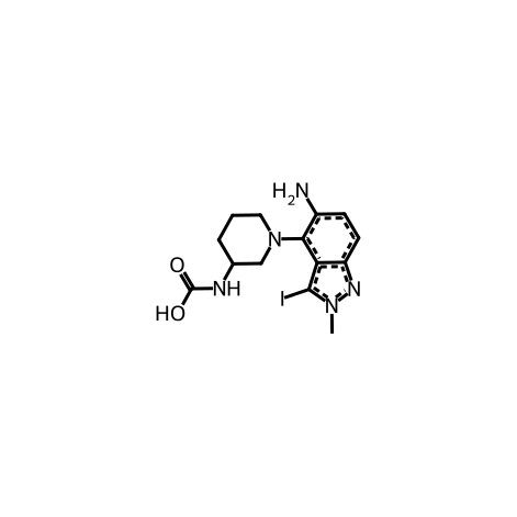 Cn1nc2ccc(N)c(N3CCCC(NC(=O)O)C3)c2c1I